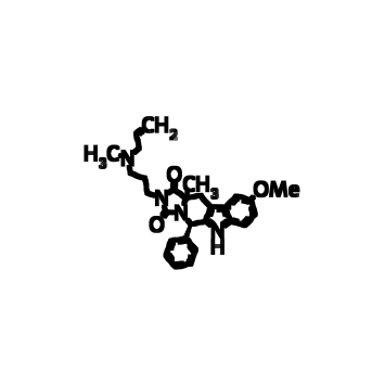 C=CCN(C)CCCN1C(=O)N2[C@H](c3ccccc3)c3[nH]c4ccc(OC)cc4c3C[C@@]2(C)C1=O